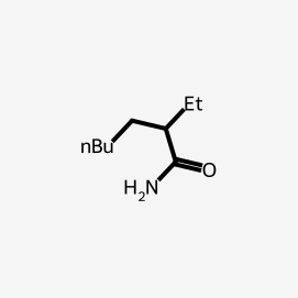 [CH2]CC(CCCCC)C(N)=O